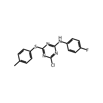 Cc1ccc(Sc2nc(Cl)nc(Nc3ccc(F)cc3)n2)cc1